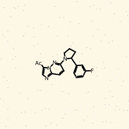 CC(=O)c1cnc2ccc(N3CCCC3c3cccc(F)c3)nn12